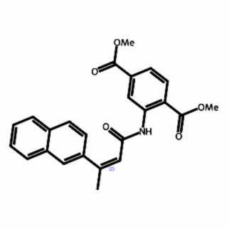 COC(=O)c1ccc(C(=O)OC)c(NC(=O)/C=C(/C)c2ccc3ccccc3c2)c1